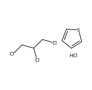 Cl.ClCC(Cl)CCl.c1ccsc1